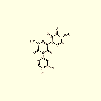 CN1N=CC(c2nn(C)c(=O)n(-c3ccc(Cl)c(Cl)c3)c2=O)C(=O)C1=O